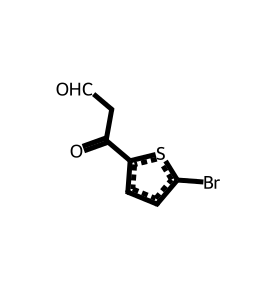 O=CCC(=O)c1ccc(Br)s1